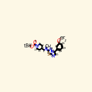 CN(CC1CCN(C(=O)OC(C)(C)C)CC1)c1nn2c(-c3cccc(OC(F)(F)F)c3)cnc2s1